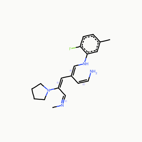 C\N=C/C(=C\C(\C=C/N)=C\Nc1cc(C)ccc1F)N1CCCC1